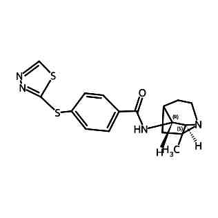 C[C@H]1[C@H](NC(=O)c2ccc(Sc3nncs3)cc2)C2CCN1CC2